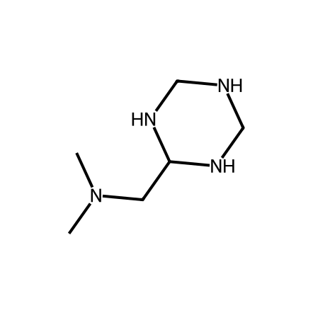 CN(C)CC1NCNCN1